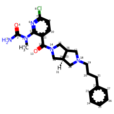 CN(C(N)=O)c1nc(Cl)ccc1C(=O)N1CC2CN(CC[CH]c3ccccc3)C[C@H]2C1